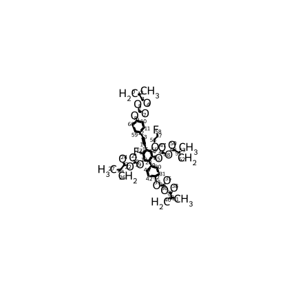 C=C(C)C(=O)OC(=O)Oc1ccc(C#Cc2c(F)c(OC(=O)OC(=O)C(=C)C)c(-c3ccc(OC(=O)OC(=O)C(=C)C)cc3)c(OC(=O)OC(=O)C(=C)C)c2OCCF)cc1